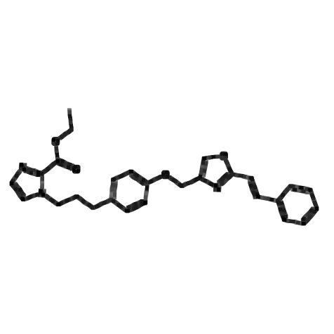 CCOC(=O)c1nccn1CCCc1ccc(OCc2coc(C=Cc3ccccc3)n2)cc1